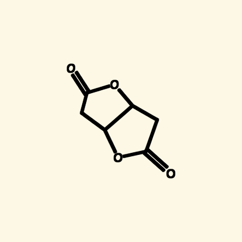 O=C1CC2OC(=O)CC2O1